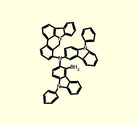 Bc1c(N(c2ccc3c(c2)c2ccccc2n3-c2ccccc2)c2cccc3c2Cn2c4ccccc4c4cccc-3c42)ccc2c1c1ccccc1n2-c1ccccc1